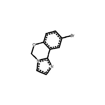 Brc1ccc2c(c1)-c1nccn1CO2